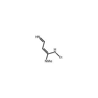 CCN/C(=C\C=N)NC